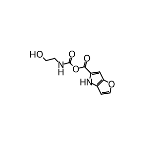 O=C(NCCO)OC(=O)c1cc2occc2[nH]1